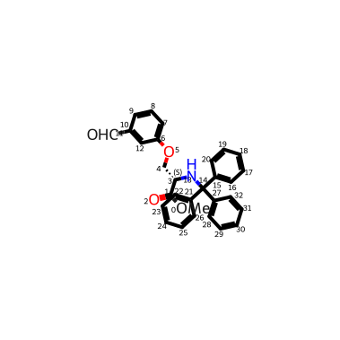 COC(=O)[C@H](COc1cccc(C=O)c1)NC(c1ccccc1)(c1ccccc1)c1ccccc1